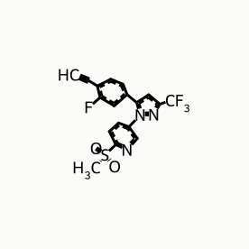 C#Cc1ccc(-c2cc(C(F)(F)F)nn2-c2ccc(S(C)(=O)=O)nc2)cc1F